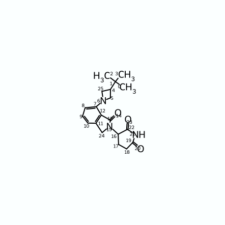 CC(C)(C)C1CN(c2cccc3c2C(=O)N(C2CCC(=O)NC2=O)C3)C1